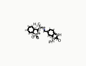 CC(C)n1c(=O)[nH]c2ccc(/C=N/N(C)C3=NS(=O)(=O)c4ccccc43)cc21